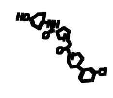 O=C(Nc1ccc(O)cc1)[C@@H]1CCN(CC(=O)N2CCC(c3cccc(Cl)c3)CC2)C1